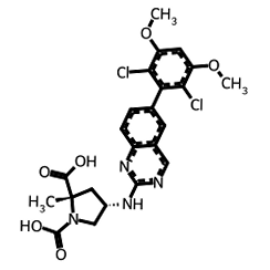 COc1cc(OC)c(Cl)c(-c2ccc3nc(N[C@@H]4CN(C(=O)O)[C@](C)(C(=O)O)C4)ncc3c2)c1Cl